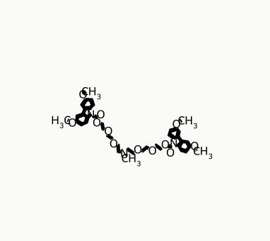 COc1ccc2c(c1)c1cc(OC)ccc1n2C(=O)OCCOCCOCCN(C)CCOCCOCCOC(=O)n1c2ccc(OC)cc2c2cc(OC)ccc21